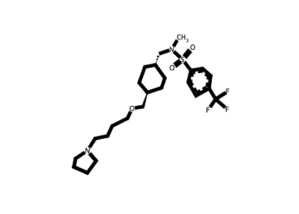 CN(C[C@H]1CC[C@H](COCCCCN2CCCC2)CC1)S(=O)(=O)c1ccc(C(F)(F)F)cc1